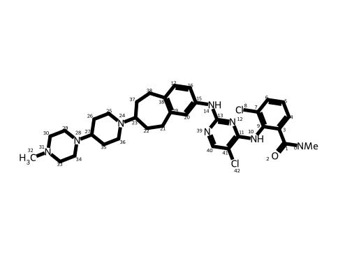 CNC(=O)c1cccc(Cl)c1Nc1nc(Nc2ccc3c(c2)CCC(N2CCC(N4CCN(C)CC4)CC2)CC3)ncc1Cl